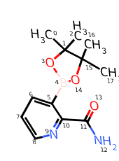 CC1(C)OB(c2cccnc2C(N)=O)OC1(C)C